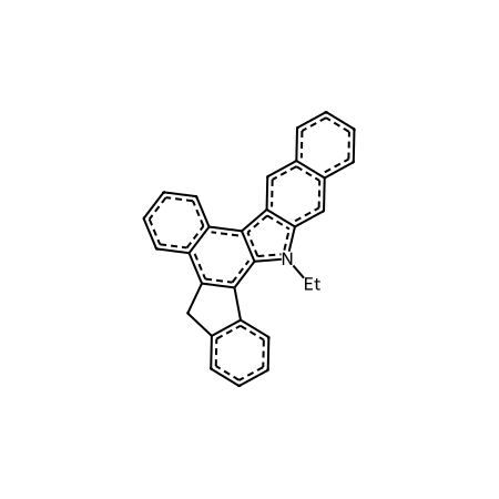 CCn1c2cc3ccccc3cc2c2c3ccccc3c3c(c21)-c1ccccc1C3